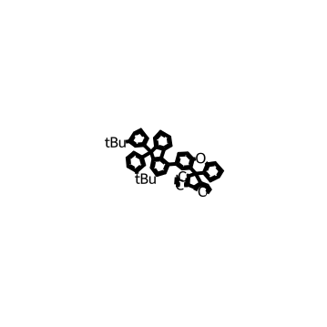 CC(C)(C)c1cccc(C2(c3cccc(C(C)(C)C)c3)c3ccccc3-c3c(-c4ccc5c(c4)C4(c6ccccc6O5)c5ccccc5-c5ccccc54)cccc32)c1